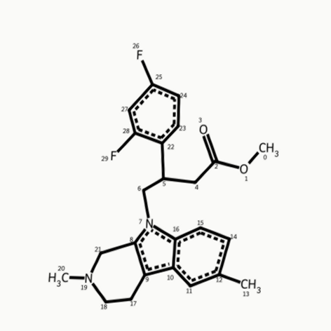 COC(=O)CC(Cn1c2c(c3cc(C)ccc31)CCN(C)C2)c1ccc(F)cc1F